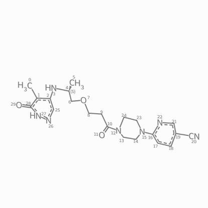 Cc1c(N[C@@H](C)COCCC(=O)N2CCN(c3ccc(C#N)cn3)CC2)cn[nH]c1=O